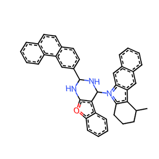 CC1CCCc2c1c1cc3ccccc3cc1n2C1NC(c2ccc3ccc4ccccc4c3c2)Nc2oc3ccccc3c21